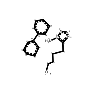 CCCCCc1nnnn1N.c1ccc(-c2ccccc2)cc1